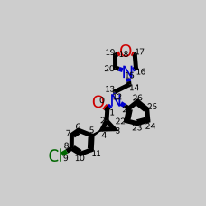 O=C(C1C[C@H]1c1ccc(Cl)cc1)N(CCN1CCOCC1)c1ccccc1